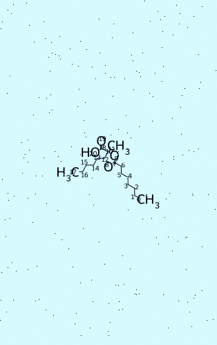 CCCCCCCC(=O)OC(C)(CCCCCC)C(=O)O